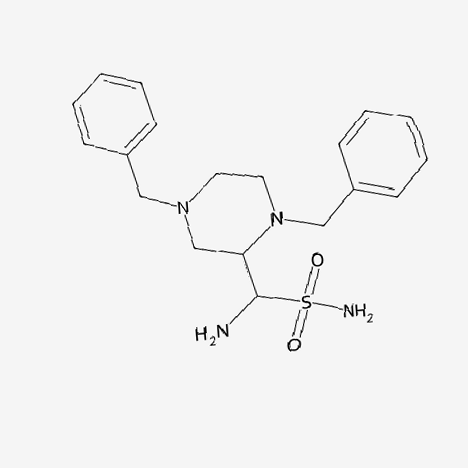 NC(C1CN(Cc2ccccc2)CCN1Cc1ccccc1)S(N)(=O)=O